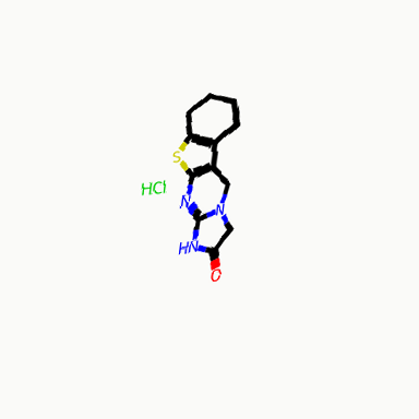 Cl.O=C1CN2Cc3c(sc4c3CCCC4)N=C2N1